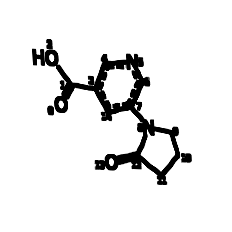 O=C(O)c1cncc(N2CCCC2=O)c1